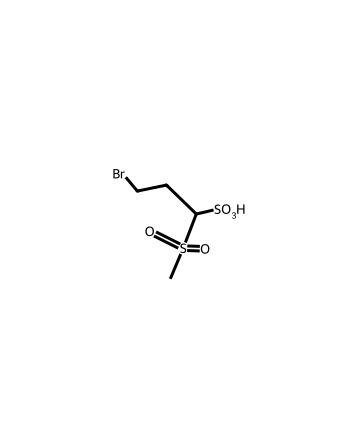 CS(=O)(=O)C(CCBr)S(=O)(=O)O